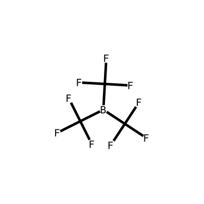 FC(F)(F)B(C(F)(F)F)C(F)(F)F